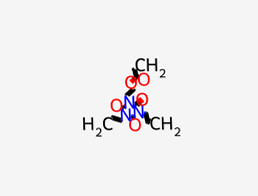 C=CCn1c(=O)n(CC=C)c(=O)n(CCOC(=O)C=C)c1=O